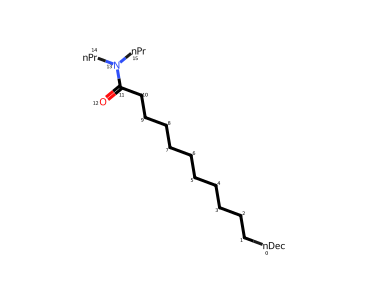 CCCCCCCCCCCCCCCCCCCCC(=O)N(CCC)CCC